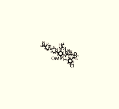 C=CC(=O)Nc1cc(Nc2cc(N3OCC[C@@H]3c3cccc(Cl)c3)ncn2)c(OC)cc1N1CCC(N2CCC(N(C)C)CC2)CC1